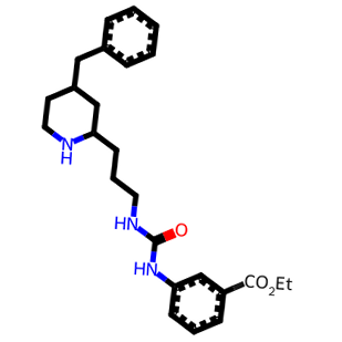 CCOC(=O)c1cccc(NC(=O)NCCCC2CC(Cc3ccccc3)CCN2)c1